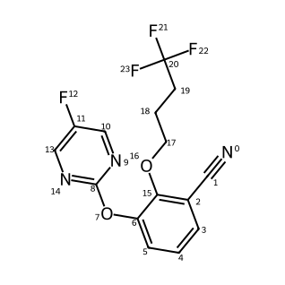 N#Cc1cccc(Oc2ncc(F)cn2)c1OCCCC(F)(F)F